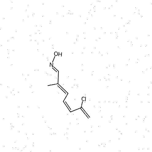 C=C(Cl)\C=C/C=C(C)/C=N/O